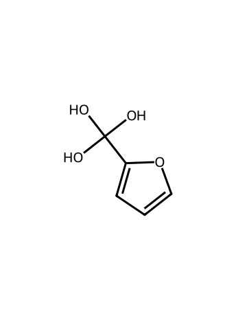 OC(O)(O)c1ccco1